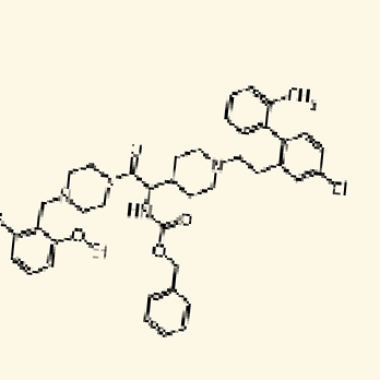 CCOc1cccc(F)c1CN1CCN(C(=O)[C@H](NC(=O)OCc2ccccc2)C2CCN(CCc3cc(Cl)ccc3-c3ccccc3C)CC2)CC1